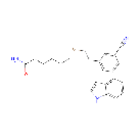 CCCCCC(N)=O.N#Cc1cccc(CCBr)c1.c1ccc2[nH]ccc2c1